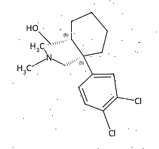 CN(C)C[C@@]1(c2ccc(Cl)c(Cl)c2)CCCC[C@H]1CO